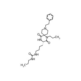 CCCNC(=O)NCCCC[C@@H]1NC(=O)C2(CCN(CCc3ccccc3)CC2)N(CCC)C1=O